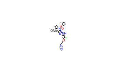 COc1cc(C)ccc1N(C(=O)Oc1c(C)cccc1C)c1ccnc(Nc2ccc(OCCCN3CCN(C)CC3)c(F)c2)n1